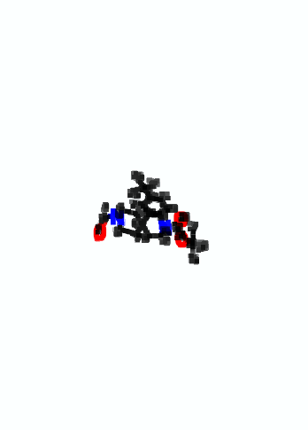 CC(=O)N1CCC2(CC1)CCN(C(=O)OC(C)(C)C)c1ccc(C(C)(C)C)cc12